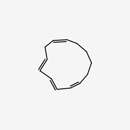 [C]1=C/C=C\CCCC/C=C\C/C=C/1